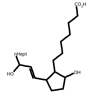 CCCCCCCC(O)C=CC1CCC(O)C1CCCCCCC(=O)O